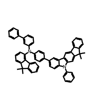 CC1(C)c2ccccc2-c2cc3c4cc(-c5ccc(N(c6cccc(-c7ccccc7)c6)c6cccc7c6-c6ccccc6C7(C)C)cc5)ccc4n(-c4ccccc4)c3cc21